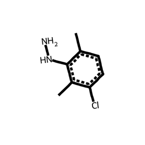 Cc1ccc(Cl)c(C)c1NN